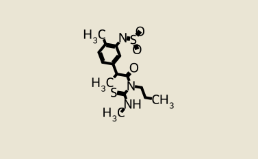 CCCN(C(=O)C(C)c1ccc(C)c(N=S(=O)=O)c1)C(=S)NC